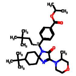 CC(C)OC(=O)c1ccc([C@@H](CCC(C)(C)C)N2C(=O)C(N3CCOCC3C)=NC23CCC(C(C)(C)C)CC3)cc1